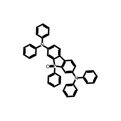 O=P1(c2ccccc2)c2cc(N(c3ccccc3)c3ccccc3)ccc2-c2ccc(N(c3ccccc3)c3ccccc3)cc21